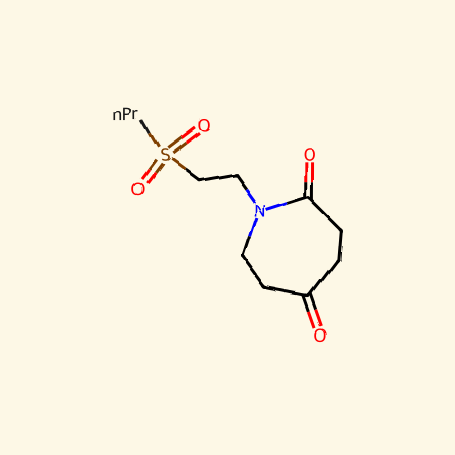 CCCS(=O)(=O)CCN1CCC(=O)CCC1=O